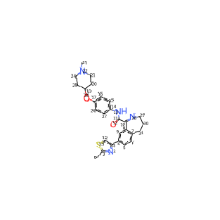 Cc1nc(-c2ccc3c(c2)C(C(=O)Nc2ccc(OC4CCN(C)CC4)cc2)=NCCC3)cs1